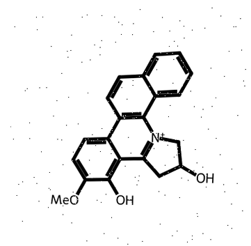 COc1ccc2c(c1O)c1[n+](c3c4ccccc4ccc23)CC(O)C1